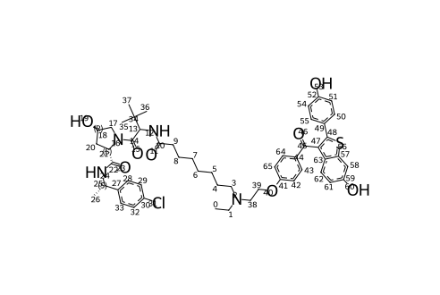 CCN(CCCCCCCC(=O)NC(C(=O)N1C[C@H](O)C[C@H]1C(=O)N[C@@H](C)c1ccc(Cl)cc1)C(C)(C)C)CCOc1ccc(C(=O)c2c(-c3ccc(O)cc3)sc3cc(O)ccc23)cc1